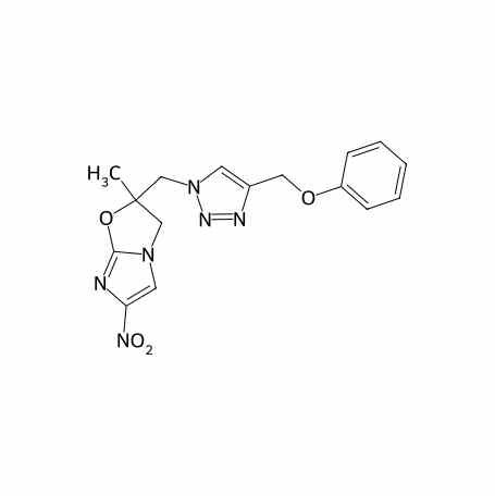 CC1(Cn2cc(COc3ccccc3)nn2)Cn2cc([N+](=O)[O-])nc2O1